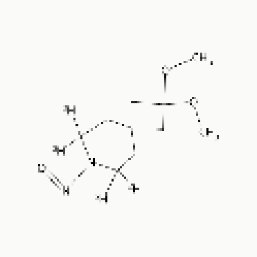 [2H]C1([2H])CC2(CC(OC)(OC)C2)CC([2H])([2H])N1N=O